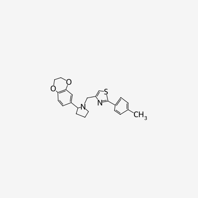 Cc1ccc(-c2nc(CN3CCCC3c3ccc4c(c3)OCCO4)cs2)cc1